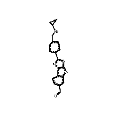 O=Cc1ccc2c(c1)sc1nc(-c3ccc(CNC4CC4)cc3)nn12